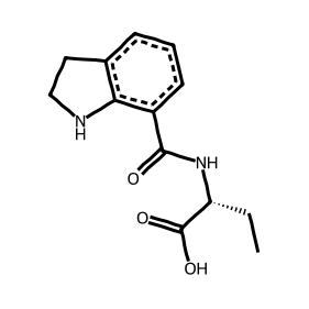 CC[C@@H](NC(=O)c1cccc2c1NCC2)C(=O)O